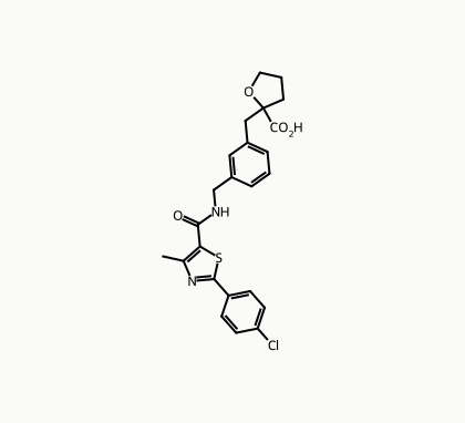 Cc1nc(-c2ccc(Cl)cc2)sc1C(=O)NCc1cccc(CC2(C(=O)O)CCCO2)c1